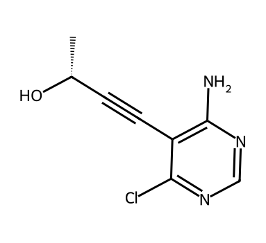 C[C@@H](O)C#Cc1c(N)ncnc1Cl